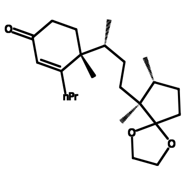 CCCC1=CC(=O)CC[C@]1(C)[C@H](C)CC[C@@]1(C)[C@H](C)CCC12OCCO2